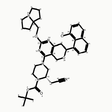 CC(C)(C)OC(=O)N1CCN(c2nc(OCC34CCCN3CCC4)nc3c2COC(c2cccc4cccc(Cl)c24)C3)C[C@@H]1CC#N